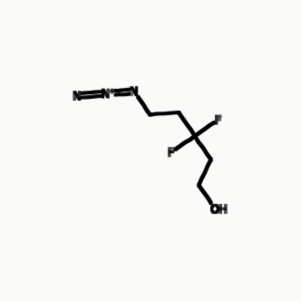 [N-]=[N+]=NCCC(F)(F)CCO